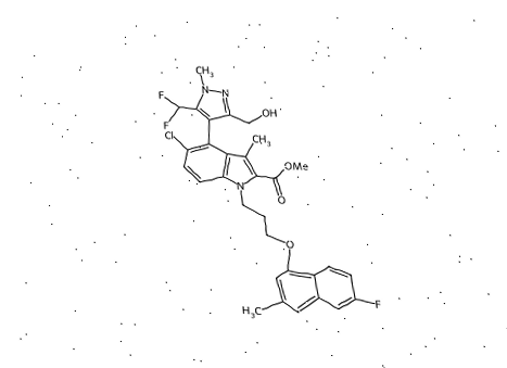 COC(=O)c1c(C)c2c(-c3c(CO)nn(C)c3C(F)F)c(Cl)ccc2n1CCCOc1cc(C)cc2cc(F)ccc12